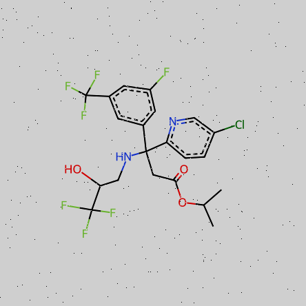 CC(C)OC(=O)CC(NCC(O)C(F)(F)F)(c1cc(F)cc(C(F)(F)F)c1)c1ccc(Cl)cn1